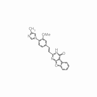 COc1cc(/C=C/c2nc3oc4ccccc4c3c(=O)[nH]2)ccc1-n1cnc(C)c1